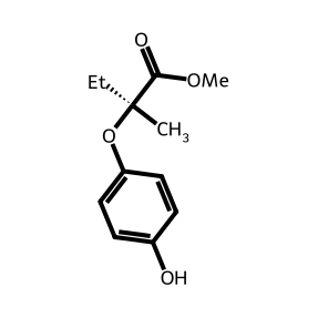 CC[C@](C)(Oc1ccc(O)cc1)C(=O)OC